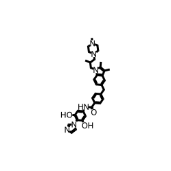 Cc1c(C)n(CC(C)CN2CCN(C)CC2)c2ccc(Cc3ccc(C(=O)Nc4cc(O)c(-n5ccnc5)c(O)c4)cc3)cc12